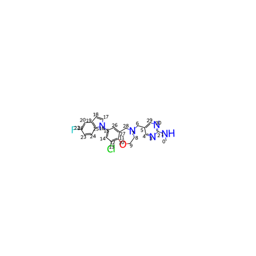 CNc1ncc(CN2CCOc3c(Cl)cc(-n4ccc5cc(F)ccc54)cc3C2)cn1